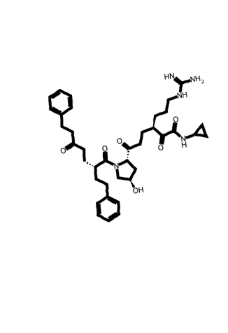 N=C(N)NCCC[C@H](CCC(=O)[C@@H]1C[C@@H](O)CN1C(=O)[C@@H](CCC(=O)CCc1ccccc1)CCc1ccccc1)C(=O)C(=O)NC1CC1